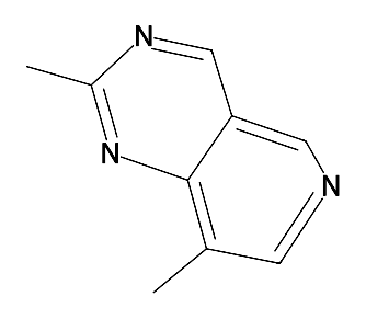 Cc1ncc2cncc(C)c2n1